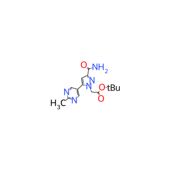 Cc1ncc(-c2cc(C(N)=O)nn2CC(=O)OC(C)(C)C)cn1